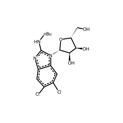 CCCCNc1nc2cc(Cl)c(Cl)cc2n1[C@@H]1O[C@H](CO)[C@@H](O)[C@H]1O